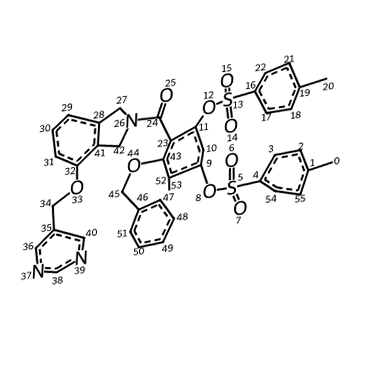 Cc1ccc(S(=O)(=O)Oc2cc(OS(=O)(=O)c3ccc(C)cc3)c(C(=O)N3Cc4cccc(OCc5cncnc5)c4C3)c(OCc3ccccc3)c2C)cc1